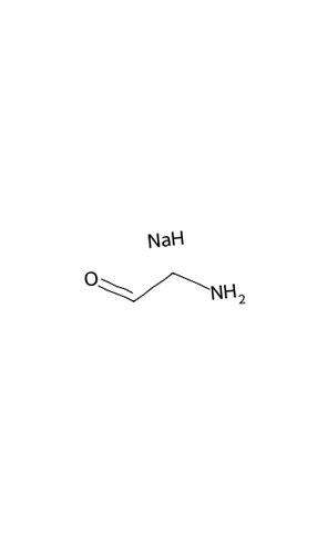 NCC=O.[NaH]